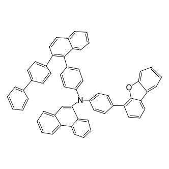 c1ccc(-c2ccc(-c3ccc4ccccc4c3-c3ccc(N(c4ccc(-c5cccc6c5oc5ccccc56)cc4)c4cc5ccccc5c5ccccc45)cc3)cc2)cc1